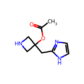 CC(=O)OC1(Cc2ncc[nH]2)CNC1